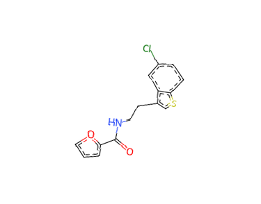 O=C(NCCc1csc2ccc(Cl)cc12)c1ccco1